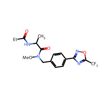 CCC(=O)NC(C)C(=O)N(Cc1ccc(-c2noc(C(F)(F)F)n2)cc1)OC